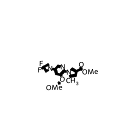 COCOc1cc(N2CC(F)(F)C2)cnc1-n1cc(C(=O)OC)cc1C